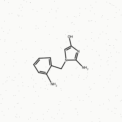 Nc1ccccc1Cn1cc(O)nc1N